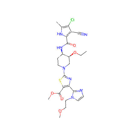 CCO[C@H]1CN(c2nc(-c3nccn3CCOC)c(C(=O)OC)s2)CC[C@H]1NC(=O)c1[nH]c(C)c(Cl)c1C#N